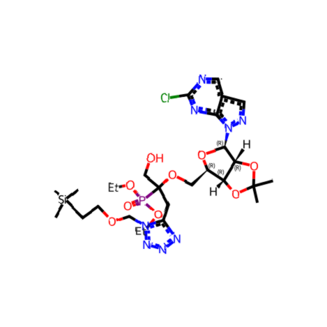 CCOP(=O)(OCC)C(CO)(Cc1nnnn1COCC[Si](C)(C)C)OC[C@H]1O[C@@H](n2ncc3[c]nc(Cl)nc32)[C@@H]2OC(C)(C)O[C@@H]21